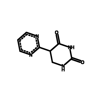 O=C1NCC(c2ncccn2)C(=O)N1